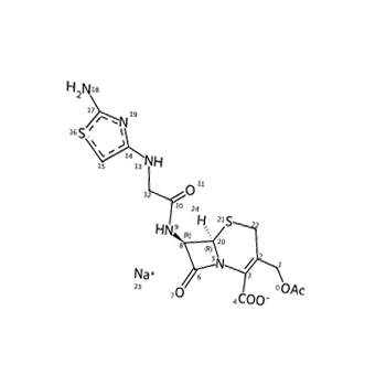 CC(=O)OCC1=C(C(=O)[O-])N2C(=O)[C@@H](NC(=O)CNc3csc(N)n3)[C@H]2SC1.[Na+]